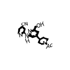 CC(=O)N1CCC(c2cc(CO)nc(Nc3cc(C#N)ccn3)c2)CC1